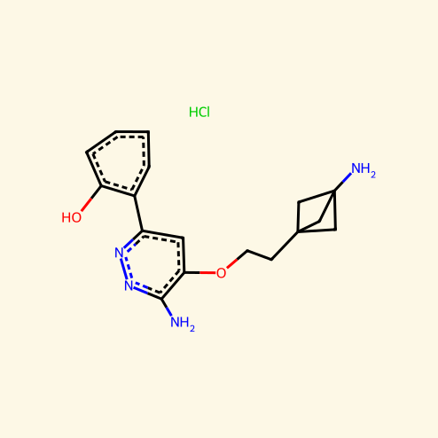 Cl.Nc1nnc(-c2ccccc2O)cc1OCCC12CC(N)(C1)C2